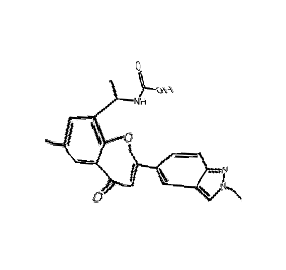 Cc1cc(C(C)NC(=O)O)c2oc(-c3ccc4nn(C)cc4c3)cc(=O)c2c1